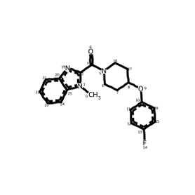 Cn1c(C(=O)N2CCC(Oc3ccc(F)cc3)CC2)nc2ccccc21